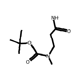 CN(CCC([NH])=O)C(=O)OC(C)(C)C